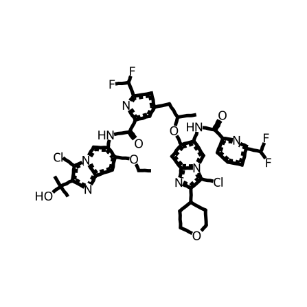 CCOc1cc2nc(C(C)(C)O)c(Cl)n2cc1NC(=O)c1cc(CC(C)Oc2cc3nc(C4CCOCC4)c(Cl)n3cc2NC(=O)c2cccc(C(F)F)n2)cc(C(F)F)n1